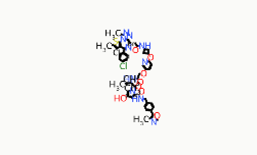 Cc1ncoc1-c1ccc(CNC(=O)[C@@H]2C[C@@H](O)CN2C(=O)C(NC(=O)COc2ccc(O[C@H]3C[C@@H](NC(=O)C[C@@H]4N=C(c5ccc(Cl)cc5)c5c(sc(C)c5C)-n5c(C)nnc54)C3)nc2)C(C)(C)C)cc1